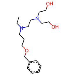 CCN(CCCOCc1ccccc1)CCN(CCO)CCO